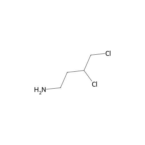 NCCC(Cl)CCl